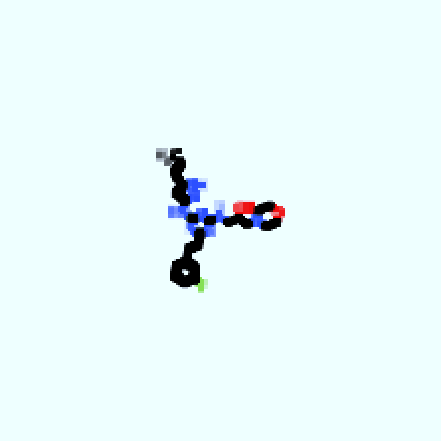 C/C=C/c1cc(Nc2nc(/C=C/c3cccc(F)c3)nc(NCC(O)CN3CCOCC3)n2)n[nH]1